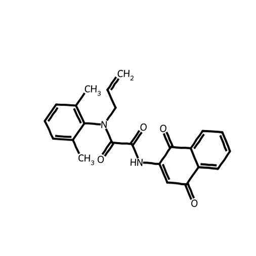 C=CCN(C(=O)C(=O)NC1=CC(=O)c2ccccc2C1=O)c1c(C)cccc1C